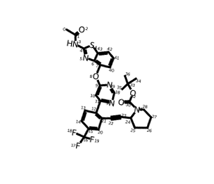 CC(=O)Nc1nc2c(Oc3cc(-c4ccc(C(F)(F)F)cc4C#CC4CCCCN4C(=O)OC(C)(C)C)ncn3)cccc2s1